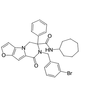 O=C1c2cc3occc3n2CC(C(=O)NC2CCCCCC2)(c2ccccc2)N1Cc1cccc(Br)c1